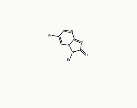 CCn1c(=O)nc2ncc(C(C)C)cn21